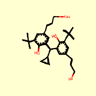 CC(C)(C)c1cc(CCCO)cc(C(c2cc(CCCO)cc(C(C)(C)C)c2O)C2CC2)c1O